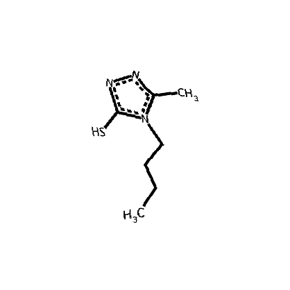 CCCCn1c(C)nnc1S